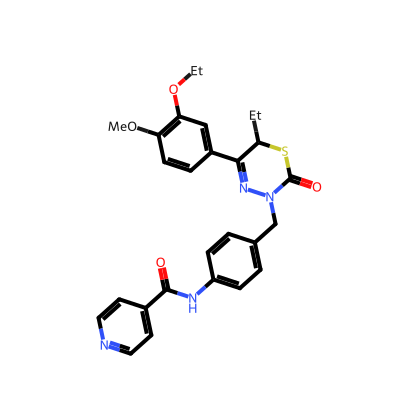 CCOc1cc(C2=NN(Cc3ccc(NC(=O)c4ccncc4)cc3)C(=O)SC2CC)ccc1OC